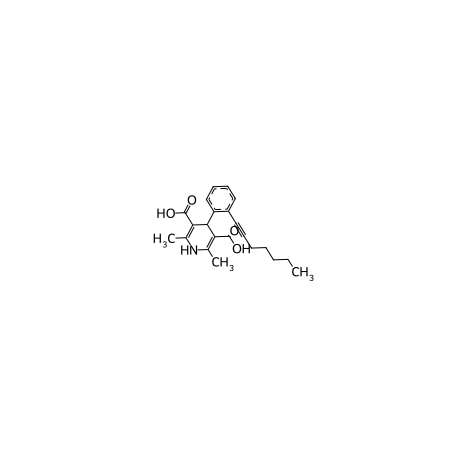 CCCCCC#Cc1ccccc1C1C(C(=O)O)=C(C)NC(C)=C1C(=O)O